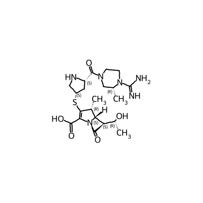 C[C@@H]1CN(C(=O)[C@@H]2C[C@H](SC3=C(C(=O)O)N4C(=O)[C@H]([C@@H](C)O)[C@H]4[C@H]3C)CN2)CCN1C(=N)N